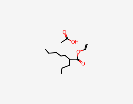 C=COC(=O)C(CCC)CCCCC.CC(=O)O